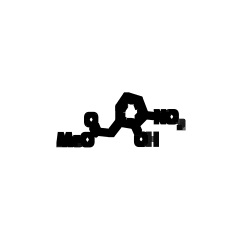 COC(=O)Cc1cccc([N+](=O)[O-])c1O